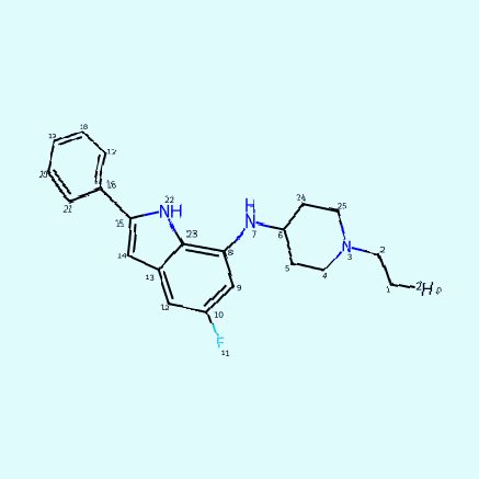 [2H]CCN1CCC(Nc2cc(F)cc3cc(-c4ccccc4)[nH]c23)CC1